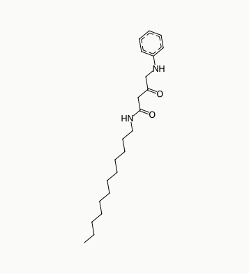 CCCCCCCCCCCCNC(=O)CC(=O)CNc1ccccc1